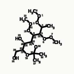 COOC(C)[C@@H](OOC)[C@H](OOC)[C@@H]1OC(C)(C)O[C@@H](CO)[C@@H]1O